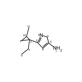 CCC1(C2=NCC(N)=C2)CC1C